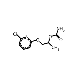 CC(COc1cccc(Cl)n1)OC(N)=O